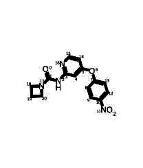 O=C(Nc1cc(Oc2ccc([N+](=O)[O-])cc2)ccn1)N1CCC1